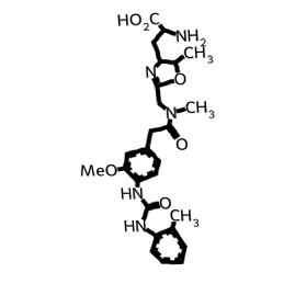 COc1cc(CC(=O)N(C)CC2=NC(CC(N)C(=O)O)C(C)O2)ccc1NC(=O)Nc1ccccc1C